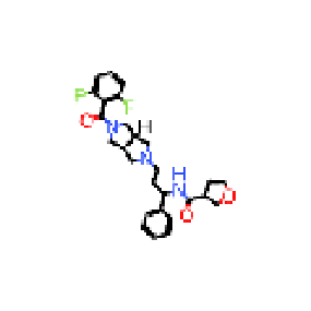 O=C(NC(CCN1CC2CN(C(=O)c3c(F)cccc3F)C[C@@H]2C1)c1ccccc1)C1CCOC1